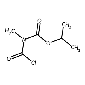 CC(C)OC(=O)N(C)C(=O)Cl